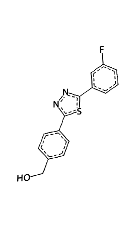 OCc1ccc(-c2nnc(-c3cccc(F)c3)s2)cc1